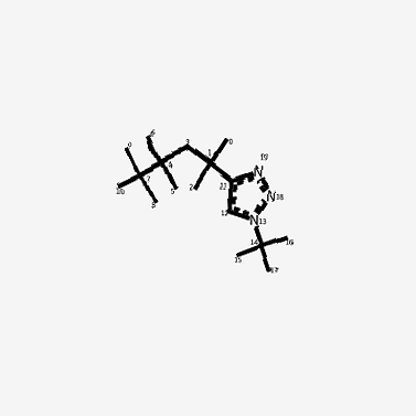 CC(C)(CC(C)(C)C(C)(C)C)c1cn(C(C)(C)C)nn1